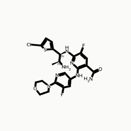 C[C@H](N)[C@H](Nc1nc(Nc2cnc(N3CCOCC3)c(F)c2)c(C(N)=O)cc1F)c1ccc(Cl)s1